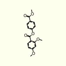 COC(=O)c1ccc(OC(=O)c2ccc(OC)cc2OC)cc1